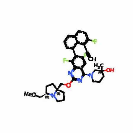 C#Cc1c(F)ccc2cccc(-c3c(F)cc4c(N5CCC[C@@](C)(O)C5)nc(OC[C@@]56CCCN5[C@H](COC)CC6)nc4c3F)c12